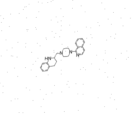 c1ccc2c(c1)CCC(CN1CCN(c3nccc4ccccc34)CC1)N2